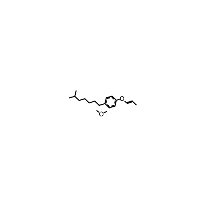 CC=COc1ccc(CCCCCC(C)C)cc1.COC